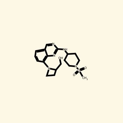 CS(=O)(=O)N1CCC(Nc2ncc3cccc(N4CCC4CO)c3n2)CC1